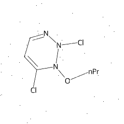 CCCON1C(Cl)=CC=NN1Cl